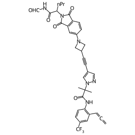 C=C=Cc1cc(C(F)(F)F)ccc1NC(=O)C(C)(C)n1cc(C#CC2CN(c3ccc4c(c3)C(=O)N(C(CCC)C(=O)NC=O)C4=O)C2)cn1